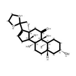 CC1(C2=CC[C@H]3[C@@H]4CC[C@H]5C[C@@H](O)CC[C@]5(C)[C@H]4C(=O)C[C@]23C)OCCO1